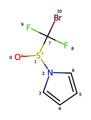 [O-][S+](n1cccc1)C(F)(F)Br